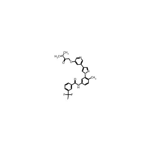 Cc1ccc(NC(=O)c2cccc(C(F)(F)F)c2)cc1-n1cc(-c2cncc(OCC(=O)N(C)C)c2)cn1